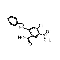 C[S+]([O-])c1cc(C(=O)O)c(NCc2ccccc2)cc1Cl